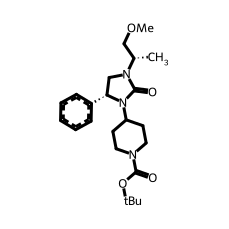 COC[C@H](C)N1C[C@@H](c2ccccc2)N(C2CCN(C(=O)OC(C)(C)C)CC2)C1=O